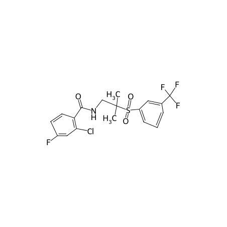 CC(C)(CNC(=O)c1ccc(F)cc1Cl)S(=O)(=O)c1cccc(C(F)(F)F)c1